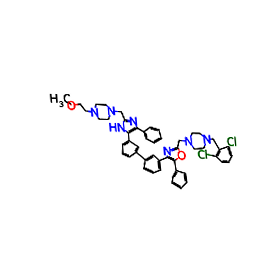 COCCN1CCN(Cc2nc(-c3ccccc3)c(-c3cccc(-c4cccc(-c5nc(CN6CCN(Cc7c(Cl)cccc7Cl)CC6)oc5-c5ccccc5)c4)c3)[nH]2)CC1